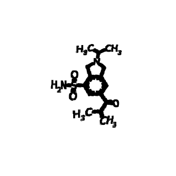 CC(C)C(=O)c1cc2c(c(S(N)(=O)=O)c1)CN(C(C)C)C2